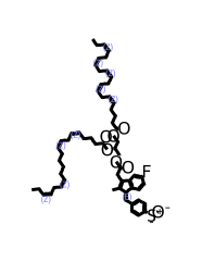 CC/C=C\C/C=C\C/C=C\C/C=C\C/C=C\CCCC(=O)OCC(COC(=O)CC1=C(C)/C(=C/c2ccc([S+](C)[O-])cc2)c2ccc(F)cc21)OC(=O)CCC/C=C\C/C=C\CCCC/C=C\C/C=C\CC